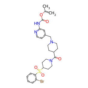 C=C(C)OC(=O)Nc1cc(CN2CCC(C(=O)N3CCC(S(=O)(=O)c4ccccc4Br)CC3)CC2)ccn1